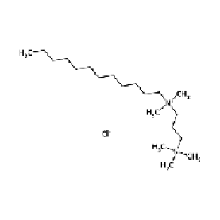 CCCCCCCCCCCC[N+](C)(C)CCC[Si](C)(C)C.[Cl-]